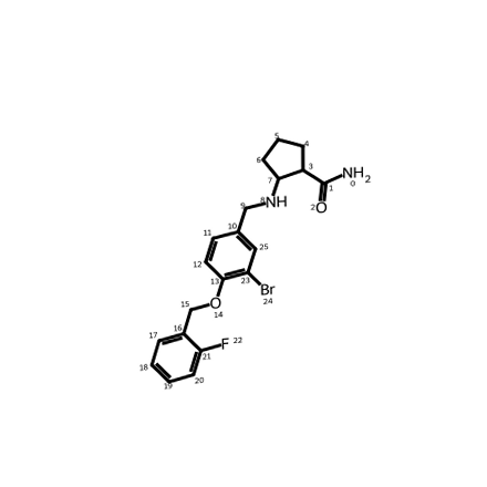 NC(=O)C1CCCC1NCc1ccc(OCc2ccccc2F)c(Br)c1